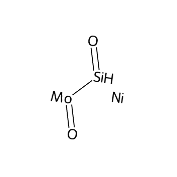 O=[SiH][Mo]=[O].[Ni]